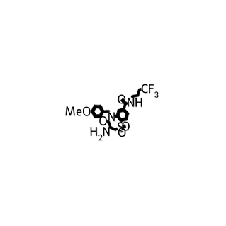 COc1ccc(CN2C(=O)[C@@H](N)CS(=O)(=O)c3ccc(C(=O)NCCCC(F)(F)F)cc32)cc1